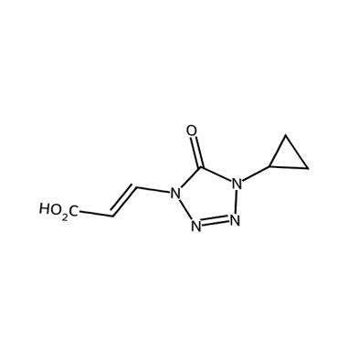 O=C(O)C=Cn1nnn(C2CC2)c1=O